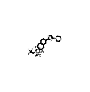 O=S1(=O)N[C@@]2(CN1CC(F)(F)F)[C@@H]1CC[C@H]2CC2=C(C=C(c3ncc(N4CCOCC4)s3)CC2)C1